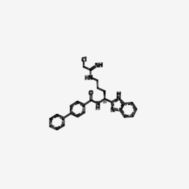 N=C(CCl)NCCC[C@H](NC(=O)c1ccc(-c2ccccc2)cc1)c1nc2ccccc2[nH]1